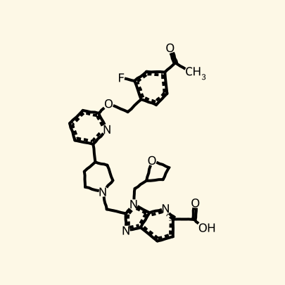 CC(=O)c1ccc(COc2cccc(C3CCN(Cc4nc5ccc(C(=O)O)nc5n4CC4CCO4)CC3)n2)c(F)c1